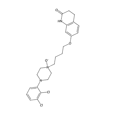 O=C1CCc2ccc(OCCCC[N+]3([O-])CCN(c4cccc(Cl)c4Cl)CC3)cc2N1